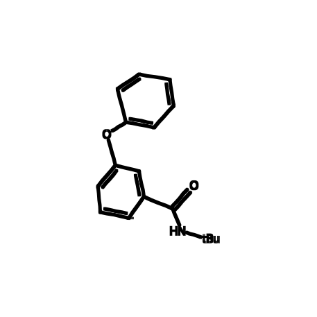 CC(C)(C)NC(=O)c1[c]ccc(Oc2ccccc2)c1